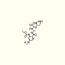 CCOC(=O)N=C1C=C(N)C=NC1C(=O)N(C)C(C)C(=O)C(OC1CCNCC1)C(=O)O